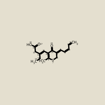 C=C/C=C\C=C1/CSC(C)=C(/C=C(\CC)CC(=O)O)C1=O